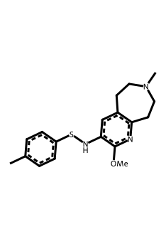 COc1nc2c(cc1NSc1ccc(C)cc1)CCN(C)CC2